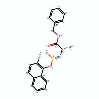 CC(C)[C@H](/N=[P+](\[O-])Oc1c(Cl)ccc2ccccc12)C(=O)OCc1ccccc1